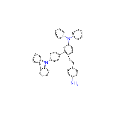 Nc1ccc(C=Cc2ccc(N(c3ccccc3)c3ccccc3)cc2-c2ccc(-n3c4ccccc4c4ccccc43)cc2)cc1